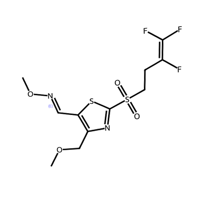 COCc1nc(S(=O)(=O)CCC(F)=C(F)F)sc1/C=N/OC